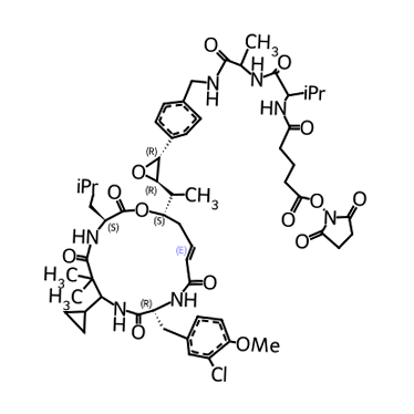 COc1ccc(C[C@H]2NC(=O)/C=C/C[C@@H](C(C)[C@H]3O[C@@H]3c3ccc(CNC(=O)C(C)NC(=O)C(NC(=O)CCCC(=O)ON4C(=O)CCC4=O)C(C)C)cc3)OC(=O)[C@H](CC(C)C)NC(=O)C(C)(C)C(C3CC3)NC2=O)cc1Cl